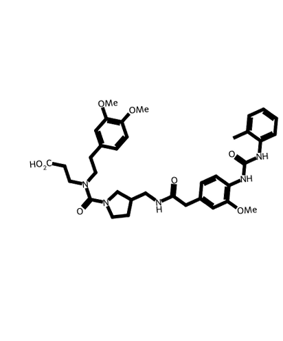 COc1cc(CC(=O)NCC2CCN(C(=O)N(CCC(=O)O)CCc3ccc(OC)c(OC)c3)C2)ccc1NC(=O)Nc1ccccc1C